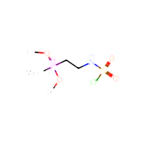 CCO[PH](CCNS(=O)(=O)Cl)(OC)OCC